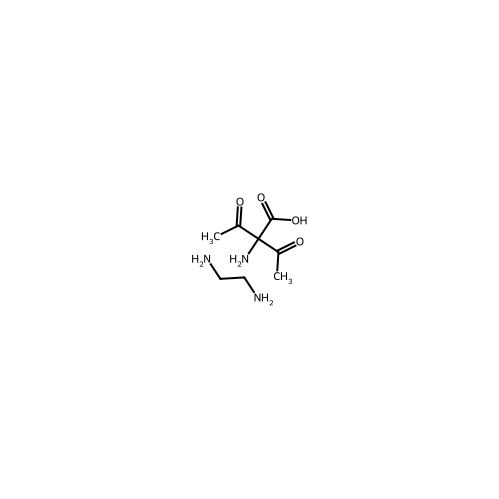 CC(=O)C(N)(C(C)=O)C(=O)O.NCCN